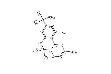 CCCCCCC(c1cc(O)c2c(c1)OC(C)(C)C1CC=C(C(=O)O)CC21)(C(F)(F)F)C(F)(F)F